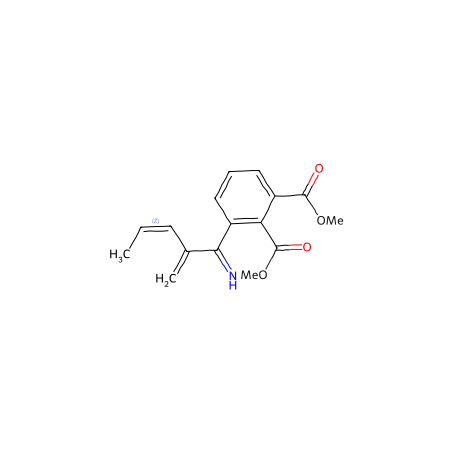 C=C(/C=C\C)C(=N)c1cccc(C(=O)OC)c1C(=O)OC